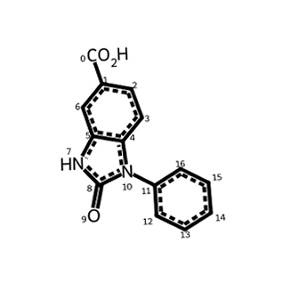 O=C(O)c1ccc2c(c1)[nH]c(=O)n2-c1ccccc1